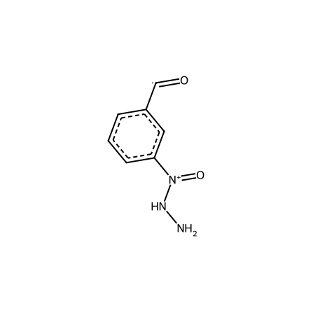 NN[N+](=O)c1cccc([C]=O)c1